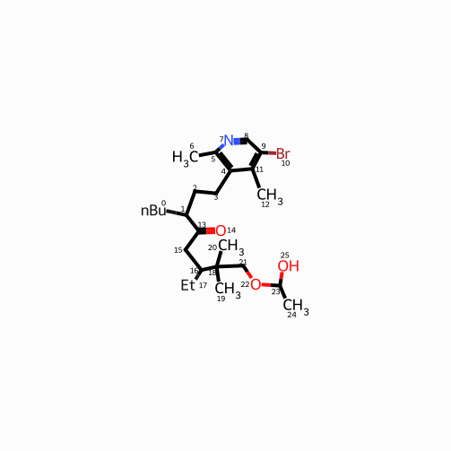 CCCCC(CCc1c(C)ncc(Br)c1C)C(=O)CC(CC)C(C)(C)COC(C)O